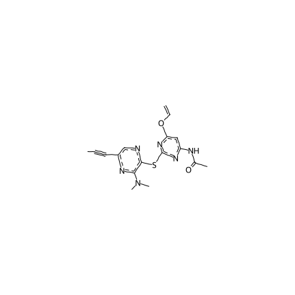 C=COc1cc(NC(C)=O)nc(Sc2ncc(C#CC)nc2N(C)C)n1